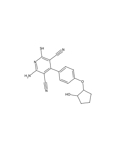 N#Cc1c(N)nc(S)c(C#N)c1-c1ccc(OC2CCCC2O)cc1